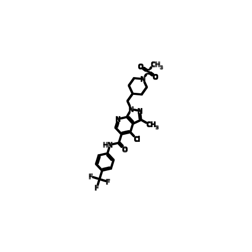 Cc1nn(CC2CCN(S(C)(=O)=O)CC2)c2ncc(C(=O)Nc3ccc(C(F)(F)F)cc3)c(Cl)c12